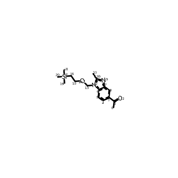 CC(=O)c1ccc2c(c1)nc(C)n2COCC[Si](C)(C)C